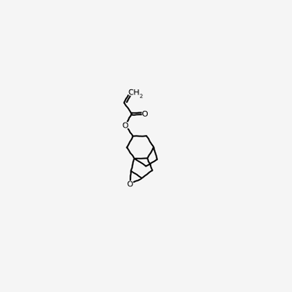 C=CC(=O)OC1CC2CCC3(C1)C2CC1OC13